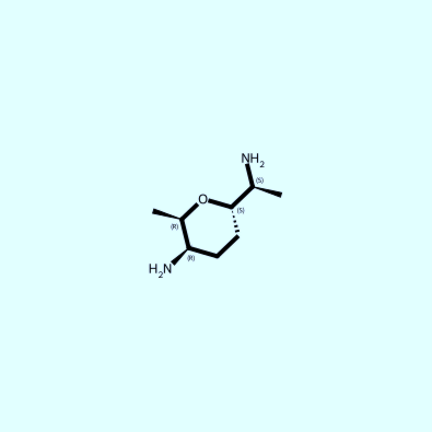 C[C@H](N)[C@@H]1CC[C@@H](N)[C@@H](C)O1